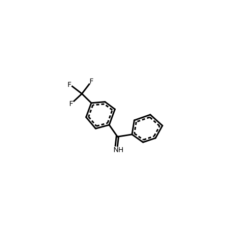 N=C(c1ccccc1)c1ccc(C(F)(F)F)cc1